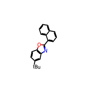 CC(C)(C)c1ccc2oc(-c3cccc4ccccc34)nc2c1